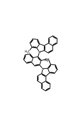 Cc1c(-n2c3ccc4ccccc4c3c3cccc(C)c32)cc2ccccc2c1-n1c2ccc3ccccc3c2c2cccc(C)c21